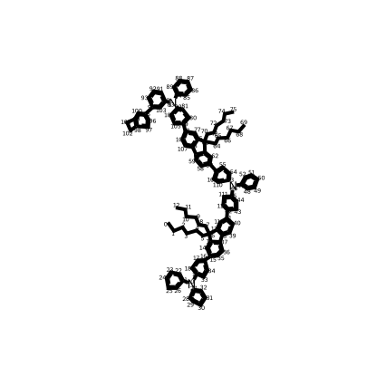 CCCCCCC1(CCCCCC)c2cc(-c3ccc(N(c4ccccc4)c4ccccc4)cc3)ccc2-c2ccc(-c3ccc(N(c4ccccc4)c4ccc(-c5ccc6c(c5)C(CCCCCC)(CCCCCC)c5cc(-c7ccc(N(c8ccccc8)c8cccc(-c9ccc%10c(c9)CC%10)c8)cc7)ccc5-6)cc4)cc3)cc21